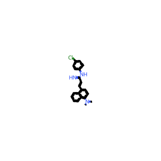 CN(C)c1ccc(/C=C/C(=N)Nc2ccc(Cl)cc2)c2ccccc12